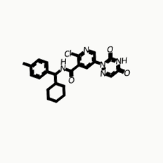 Cc1ccc(C(NC(=O)c2cc(-n3ncc(=O)[nH]c3=O)cnc2Cl)C2CCCCC2)cc1